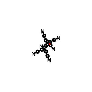 N#Cc1ccc(C2=Cc3c(n(-c4cc(-c5cccc(C#N)c5)c(-n5c6ccc(-c7ccc(C#N)cc7)cc6c6cc(-c7ccc(C#N)cc7)ccc65)cc4C#N)c4ccc(-c5ccc(C#N)cc5)cc34)CC2)cc1